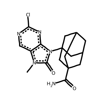 Cn1c(=O)n(C23CC4CC(CC(C(N)=O)(C4)C2)C3)c2nc(Cl)ncc21